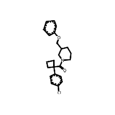 O=C(N1CCCC(COc2ccccc2)C1)C1(c2ccc(Cl)cc2)CCC1